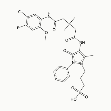 COc1cc(F)c(Cl)cc1NC(=O)CC(C)(C)CC(=O)Nc1c(C)n(CCCS(=O)(=O)O)n(-c2ccccc2)c1=O